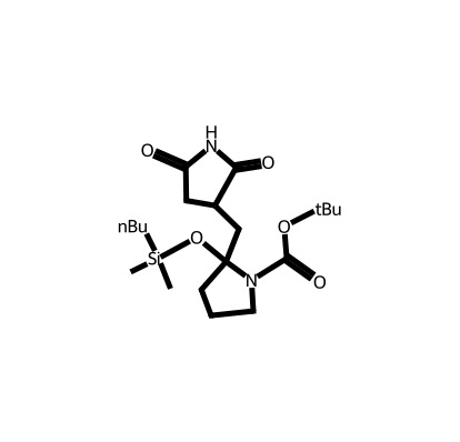 CCCC[Si](C)(C)OC1(CC2CC(=O)NC2=O)CCCN1C(=O)OC(C)(C)C